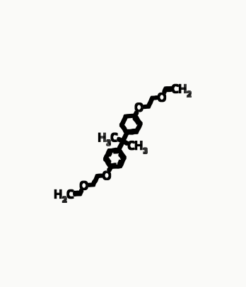 C=COCCOC1=CC=C(C(C)(C)c2ccc(OCCOC=C)cc2)CC1